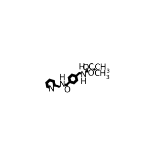 CC(C)(C)OC(=O)NCc1ccc(C(=O)NCc2ccccn2)cc1